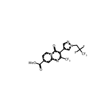 COC(=O)c1ccn2c(=O)c(-c3cnn(CC(F)(F)C(F)(F)F)c3)c(C(F)(F)F)nc2c1